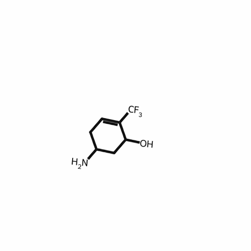 NC1CC=C(C(F)(F)F)C(O)C1